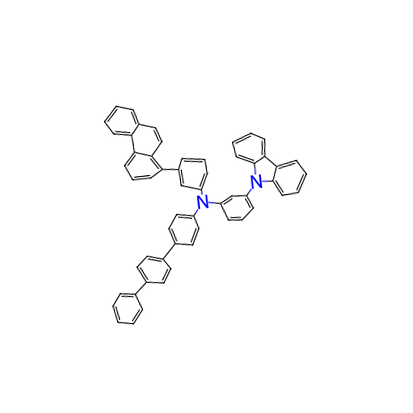 c1ccc(-c2ccc(-c3ccc(N(c4cccc(-c5cccc6c5ccc5ccccc56)c4)c4cccc(-n5c6ccccc6c6ccccc65)c4)cc3)cc2)cc1